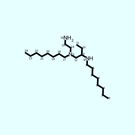 CCCCCCCCNC(CC)CN(CCN)CCCCCCCC